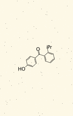 CC(C)c1ccccc1C(=O)c1ccc(O)cc1